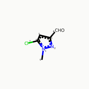 Cn1nc(C=O)cc1Cl